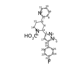 Cn1nc(C2CC(c3ccccn3)CCN2C(=O)O)cc1-c1ccc(F)cc1